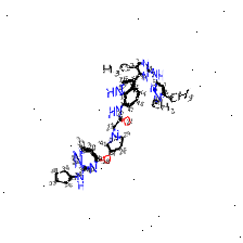 Cc1cnc(Nc2cc(C)n(C)n2)nc1-c1c[nH]c2c(NC(=O)CN3CC[C@H](Oc4ccnc(NC5CCCC5)n4)C3)cccc12